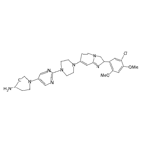 COc1cc(OC)c(C2CN3C=CC(N4CCN(c5ncc(N6CCC(N)CC6)cn5)CC4)=CC3=N2)cc1Cl